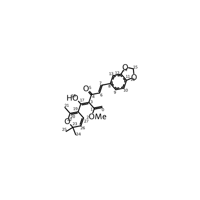 C=C(OC)/C(C(=O)/C=C/c1ccc2c(c1)OCO2)=C(/O)C1=C(C)OC(C)(C)C=C1